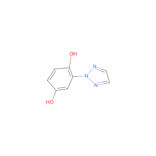 Oc1ccc(O)c(-n2nccn2)c1